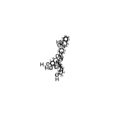 Cc1cc(C[C@@H](OC(=O)N2CCC(N3CCc4ccccc4NC3=O)CC2)C(=O)N=C=C=CN2CC[C@H](O)C2)cc(C)c1O